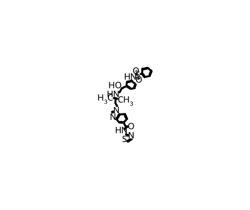 CC(C)(CCn1cnc2cc(C(=O)Nc3nccs3)ccc21)NC[C@H](O)c1cccc(NS(=O)(=O)c2ccccc2)c1